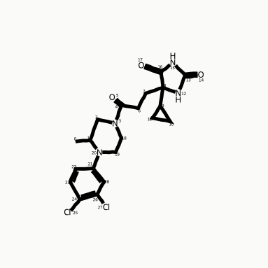 CC1CN(C(=O)CCC2(C3CC3)NC(=O)NC2=O)CCN1c1ccc(Cl)c(Cl)c1